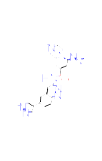 C=N/N=C(\C=C(/C)C(=O)Nc1cc2cc(-c3cnn(C)c3)ccc2nn1)N1CCN(C)CC1